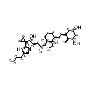 C=C1/C(=C\C=C2/CCC[C@]3(C)[C@@H]([C@H](C)/C=C/[C@H](O)C4(c5ncc(CCCC)[nH]5)CC4)CC[C@@H]23)C[C@@H](O)C[C@@H]1O